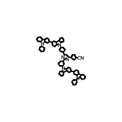 N#Cc1ccc(-c2cc(-c3ccc(-n4c5ccccc5c5cc(-c6ccc7c8ccccc8n(-c8ccccc8)c7c6)ccc54)cc3)nc(-c3cccc(-n4c5ccccc5c5cc(-c6ccc7c8ccccc8n(-c8ccccc8)c7c6)ccc54)c3)n2)cc1